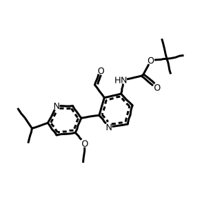 COc1cc(C(C)C)ncc1-c1nccc(NC(=O)OC(C)(C)C)c1C=O